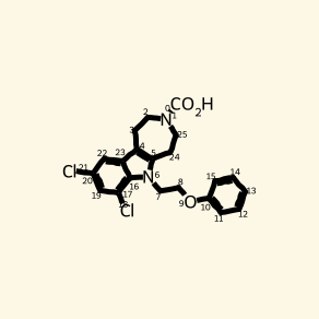 O=C(O)N1CCc2c(n(CCOc3ccccc3)c3c(Cl)cc(Cl)cc23)CC1